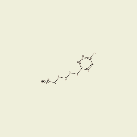 Cc1ccc(CCOCCC(=O)O)cc1